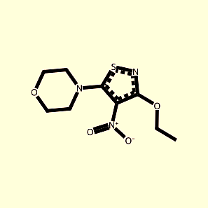 CCOc1nsc(N2CCOCC2)c1[N+](=O)[O-]